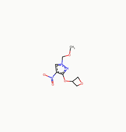 COCn1cc([N+](=O)[O-])c(OC2COC2)n1